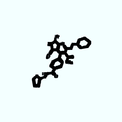 CC(C)COC(=O)c1c(CCC2CCCCC2)nc2c(c1-c1ccc(C(=O)NCc3ccco3)cc1)C(=O)NC2C(C)C